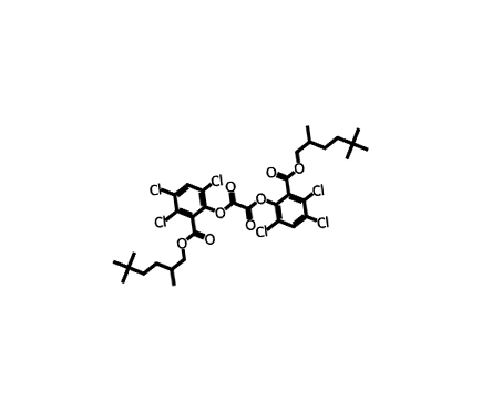 CC(CCC(C)(C)C)COC(=O)c1c(Cl)c(Cl)cc(Cl)c1OC(=O)C(=O)Oc1c(Cl)cc(Cl)c(Cl)c1C(=O)OCC(C)CCC(C)(C)C